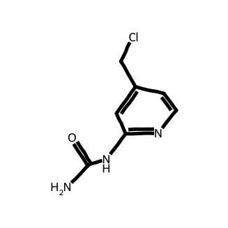 NC(=O)Nc1cc(CCl)ccn1